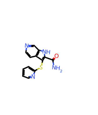 NC(=O)c1[nH]c2cnccc2c1Sc1ccccn1